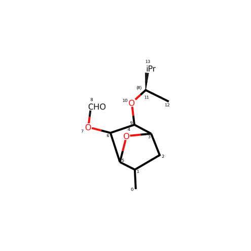 CC1CC2OC1C(OC=O)C2O[C@H](C)C(C)C